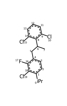 CC(C)c1ccc(CC(C)c2c(Cl)cccc2Cl)c(F)c1Cl